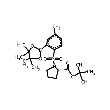 Cc1ccc(S(=O)(=O)N2CCC[C@H]2C(=O)OC(C)(C)C)c(B2OC(C)(C)C(C)(C)O2)c1